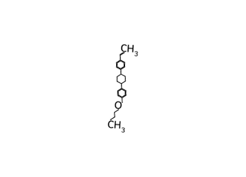 C/C=C/c1ccc(C2CCC(c3ccc(COCCCCC)cc3)CC2)cc1